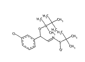 CC(C)(C)[S+]([O-])N=CC(O[Si](C)(C)C(C)(C)C)c1cccc(Cl)c1